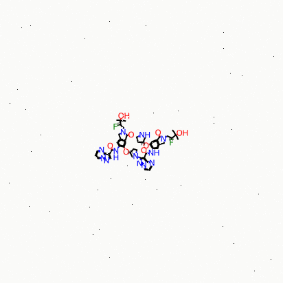 CC(C)(O)[C@H](F)CN1Cc2cc(NC(=O)c3cnn4cccnc34)c(O[C@H]3CCN(c4nn5cccnc5c4C(=O)Nc4cc5c(cc4O[C@@H]4CCNC4)C(=O)N(C[C@@H](F)C(C)(C)O)C5)C3)cc2C1=O